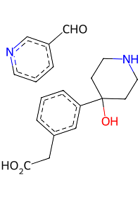 O=C(O)Cc1cccc(C2(O)CCNCC2)c1.O=Cc1cccnc1